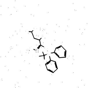 CON=C(O[Si](c1ccccc1)(c1ccccc1)C(C)(C)C)C(F)CC(C)O